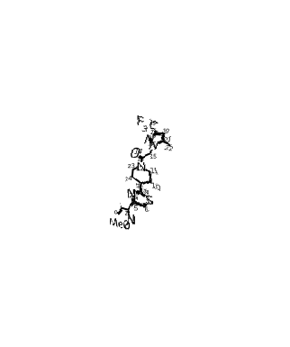 C=CC(=NOC)c1csc(C2CCN(C(=O)Cn3nc(C(F)(F)F)cc3C)CC2)n1